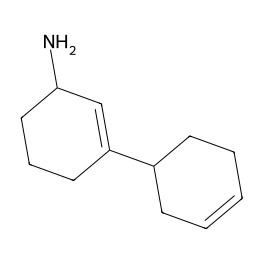 NC1C=C(C2CC=CCC2)CCC1